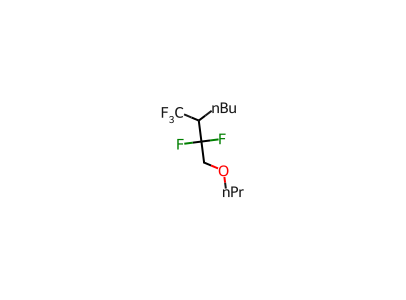 CCCCC(C(F)(F)F)C(F)(F)COCCC